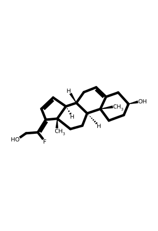 C[C@]12CC[C@H](O)CC1=CC[C@@H]1[C@@H]2CC[C@]2(C)C(=C(F)CO)C=C[C@@H]12